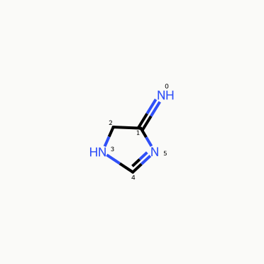 N=C1CNC=N1